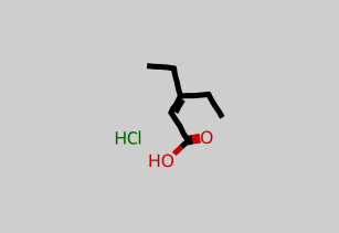 CCC(=CC(=O)O)CC.Cl